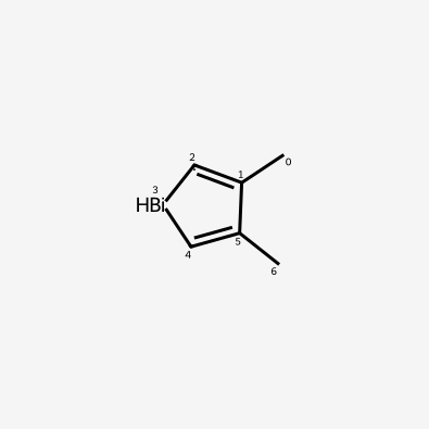 CC1=[C][BiH][CH]=C1C